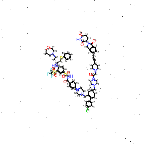 C[C@@]1(CN2CCN(C(=O)CN3CCC(C#Cc4ccc5c(c4)CN(C4CCC(=O)NC4=O)C5=O)CC3)CC2)CCC(c2ccc(Cl)cc2)=C(CN2CCN(c3ccc(C(=O)NS(=O)(=O)c4ccc(N[C@H](CCN5CCCOCC5)CSc5ccccc5)c(S(=O)(=O)C(F)(F)F)c4)cc3)CC2)C1